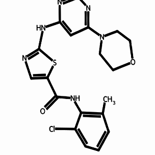 Cc1cccc(Cl)c1NC(=O)c1cnc(Nc2cc(N3CCOCC3)ncn2)s1